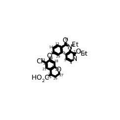 CCOc1ncccc1N(CC)C(=O)c1ccc(Oc2cc3c(cc2Cl)C(C(=O)O)CCO3)cc1